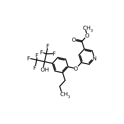 CCCc1cc(C(O)(C(F)(F)F)C(F)(F)F)ccc1Oc1cncc(C(=O)OC)c1